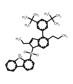 CCCc1ccc2c(c1-c1cc(C(C)(C)C)cc(C(C)(C)C)c1)C=C(CC)[CH]2[Zr]([Cl])([Cl])[c]1cccc2c1[SiH2]c1ccccc1-2